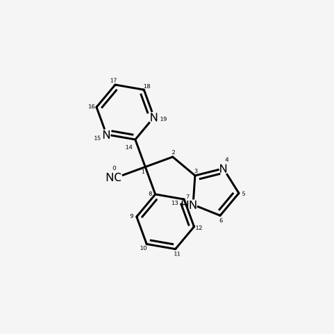 N#CC(Cc1ncc[nH]1)(c1ccccc1)c1ncccn1